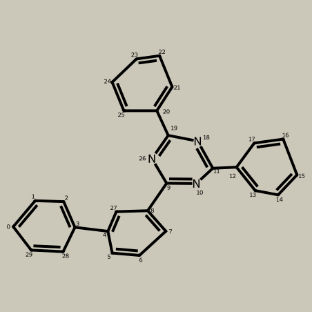 c1ccc(-c2cccc(-c3nc(-c4ccccc4)nc(-c4ccccc4)n3)c2)cc1